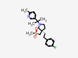 Cc1ccc(C(C)(C)N2CC[C@@](CCc3ccc(F)cc3)(CS(C)(=O)=O)C2)cn1